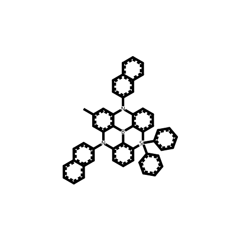 Cc1cc2c3c(c1)N(c1ccc4ccccc4c1)c1cccc4c1B3c1c(cccc1[Si]4(c1ccccc1)c1ccccc1)N2c1ccc2ccccc2c1